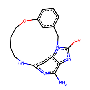 Nc1nc2cc3c1nc(O)n3Cc1cccc(c1)OCCCCN2